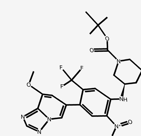 COc1cc(-c2cc([N+](=O)[O-])c(N[C@@H]3CCCN(C(=O)OC(C)(C)C)C3)cc2C(F)(F)F)cn2ncnc12